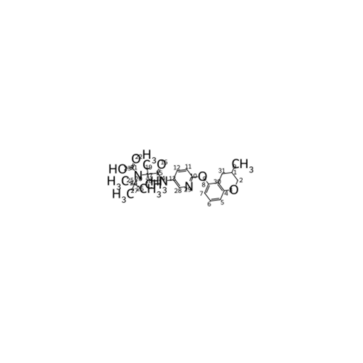 CC1COc2cccc(Oc3ccc(NC(=O)C(C)(C)N(C(=O)O)C(C)(C)C)cn3)c2C1